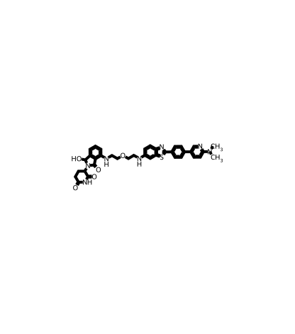 CN(C)c1ccc(-c2ccc(-c3nc4ccc(NCCOCCNc5cccc6c5C(=O)N(C5CCC(=O)NC5=O)C6O)cc4s3)cc2)cn1